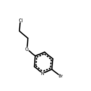 ClCCOc1ccc(Br)nc1